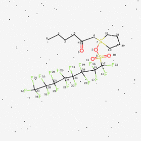 CCCCC(=O)CS1(OS(=O)(=O)C(F)(F)C(F)(F)C(F)(F)C(F)(F)C(F)(F)C(F)(F)C(F)(F)C(F)(F)F)CCCC1